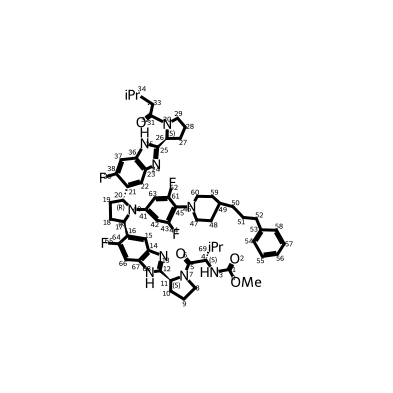 COC(=O)N[C@H](C(=O)N1CCC[C@H]1c1nc2cc([C@H]3CC[C@H](c4cc5nc([C@@H]6CCCN6C(=O)[CH]C(C)C)[nH]c5cc4F)N3c3cc(F)c(N4CCC(CCCc5ccccc5)CC4)c(F)c3)c(F)cc2[nH]1)C(C)C